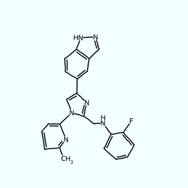 Cc1cccc(-n2cc(-c3ccc4[nH]ncc4c3)nc2CNc2ccccc2F)n1